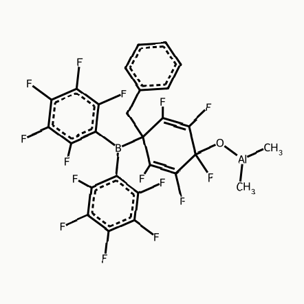 [CH3][Al]([CH3])[O]C1(F)C(F)=C(F)C(Cc2ccccc2)(B(c2c(F)c(F)c(F)c(F)c2F)c2c(F)c(F)c(F)c(F)c2F)C(F)=C1F